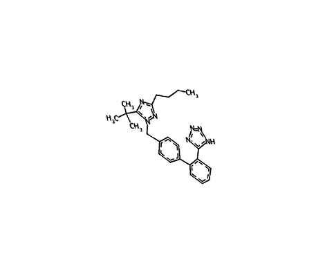 CCCCc1nc(C(C)(C)C)n(Cc2ccc(-c3ccccc3-c3nnn[nH]3)cc2)n1